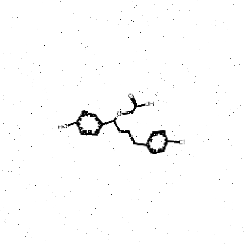 O=C(O)COC(CCCc1ccc(Cl)cc1)c1ccc(O)cc1